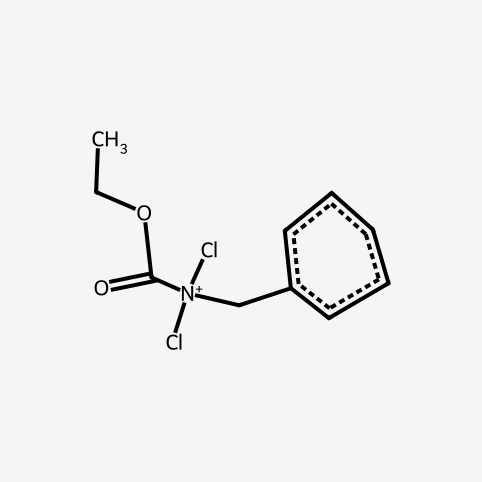 CCOC(=O)[N+](Cl)(Cl)Cc1ccccc1